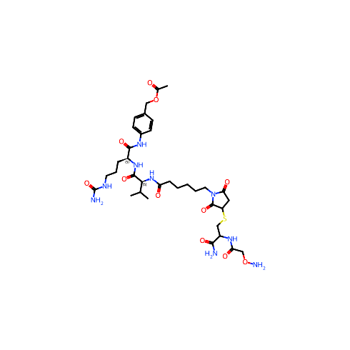 CC(=O)OCc1ccc(NC(=O)[C@H](CCCNC(N)=O)NC(=O)[C@@H](NC(=O)CCCCCN2C(=O)CC(SCC(NC(=O)CON)C(N)=O)C2=O)C(C)C)cc1